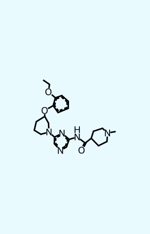 CCOc1ccccc1OC1CCCN(c2cncc(NC(=O)C3CCN(C)CC3)n2)C1